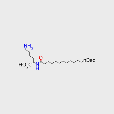 CCCCCCCCCCCCCCCCCCCCCC(=O)NC(CCCCN)C(=O)O